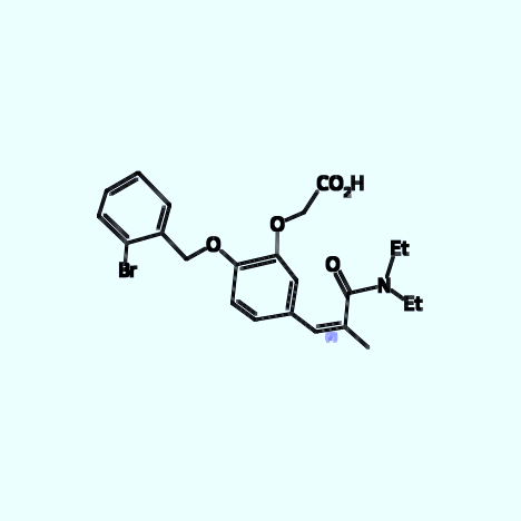 CCN(CC)C(=O)/C(C)=C\c1ccc(OCc2ccccc2Br)c(OCC(=O)O)c1